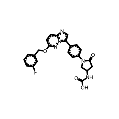 O=C(O)NC1CC(=O)N(c2ccc(-c3cnc4ccc(OCc5cccc(F)c5)nn34)cc2)C1